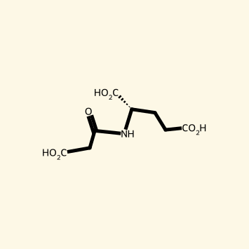 O=C(O)CC[C@H](NC(=O)CC(=O)O)C(=O)O